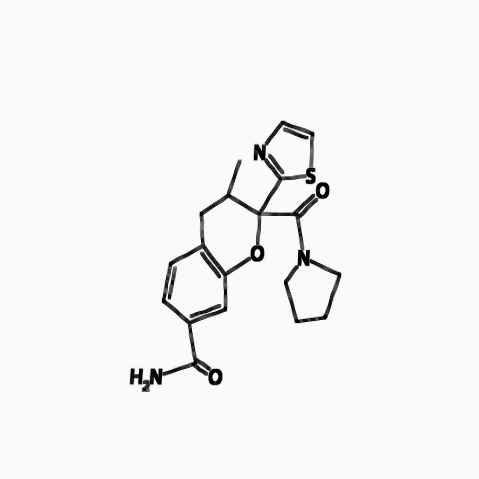 CC1Cc2ccc(C(N)=O)cc2OC1(C(=O)N1CCCC1)c1nccs1